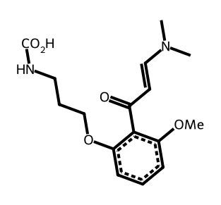 COc1cccc(OCCCNC(=O)O)c1C(=O)C=CN(C)C